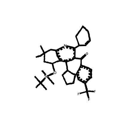 CC1(C)Cc2nc(C3C=CCCC3)c(C(=O)c3ccc(C(F)(F)F)cc3)c(C3CCCC3)c2C(O[Si](C)(C)C(C)(C)C)C1